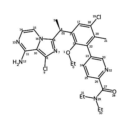 CCOc1c([C@H](C)c2nc(Cl)c3c(N)nccn23)cc(Cl)c(C)c1-c1ccc(C(=O)N(CC)CC)nc1